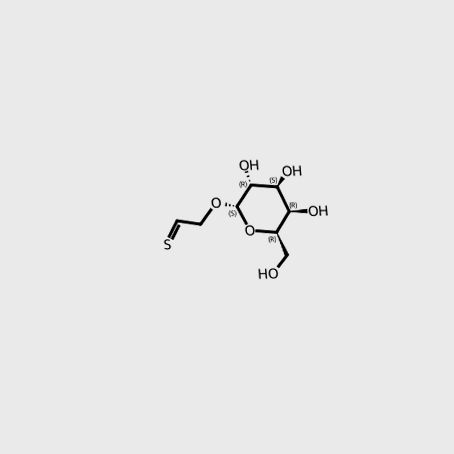 OC[C@H]1O[C@H](OCC=S)[C@H](O)[C@@H](O)[C@H]1O